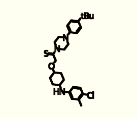 Cc1cc(NC2CCC(OCC(=S)N3CCN(c4ccc(C(C)(C)C)cc4)CC3)CC2)ccc1Cl